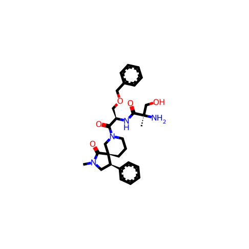 CN1C[C@H](c2ccccc2)[C@]2(CCCN(C(=O)[C@@H](COCc3ccccc3)NC(=O)[C@](C)(N)CO)C2)C1=O